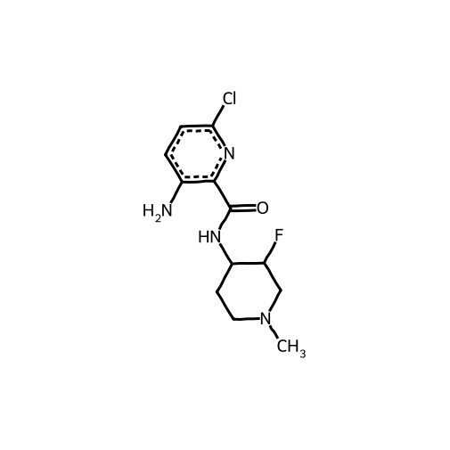 CN1CCC(NC(=O)c2nc(Cl)ccc2N)C(F)C1